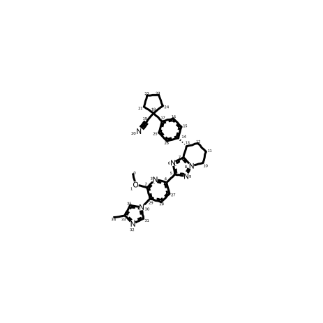 COc1nc(-c2nc3n(n2)CCC[C@H]3c2ccc(C3(C#N)CCCC3)cc2)ccc1-n1cnc(C)c1